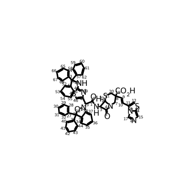 O=C(N[C@@H]1C(=O)N2CC(C=Cc3csc4cncn34)(C(=O)O)CS[C@H]12)C(=NOC(c1ccccc1)(c1ccccc1)c1ccccc1)c1csc(NC(c2ccccc2)(c2ccccc2)c2ccccc2)n1